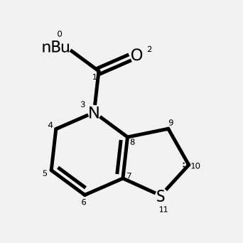 CCCCC(=O)N1CC=CC2=C1C[C]S2